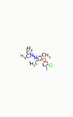 CCN(/C=N/c1cc(C)c(Oc2ccc(I)c(Cl)c2)cc1C)CC